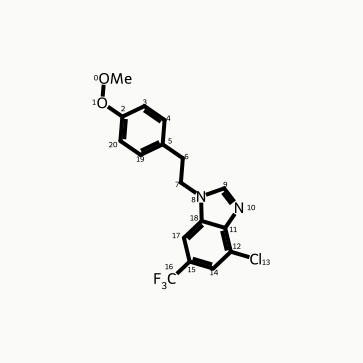 COOc1ccc(CCn2cnc3c(Cl)cc(C(F)(F)F)cc32)cc1